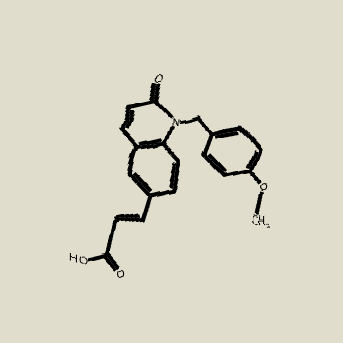 COc1ccc(Cn2c(=O)ccc3cc(C=CC(=O)O)ccc32)cc1